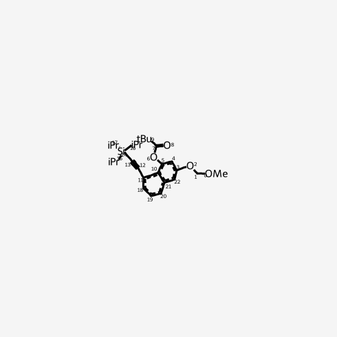 COCOc1cc(OC(=O)C(C)(C)C)c2c(C#C[Si](C(C)C)(C(C)C)C(C)C)cccc2c1